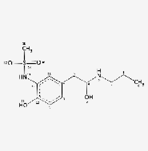 CCCNC(O)Cc1ccc(O)c(NS(C)(=O)=O)c1